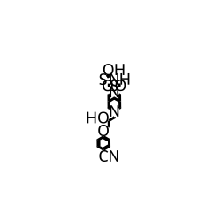 N#Cc1ccc(OCC(O)CN2CC3CC(C2)CN(S(=O)(=O)NC(O)=S)C3)cc1